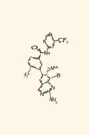 COc1c(-c2cc(C(=O)Nc3cc(C(F)(F)F)ncn3)ccc2C)cc2cnc(N)nc2c1Br